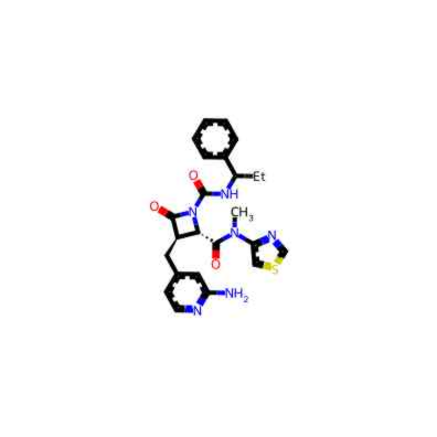 CCC(NC(=O)N1C(=O)[C@H](Cc2ccnc(N)c2)[C@H]1C(=O)N(C)c1cscn1)c1ccccc1